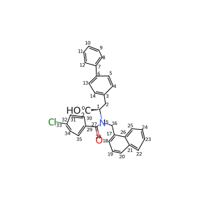 O=C(O)[C@@H](Cc1ccc(-c2ccccc2)cc1)N(Cc1cccc2ccccc12)C(=O)c1ccc(Cl)cc1